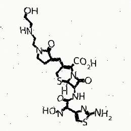 Nc1nc(/C(=N/O)C(=O)N[C@@H]2C(=O)N3C(C(=O)O)=C(/C=C4\CCN(CCNCCO)C4=O)CS[C@H]23)cs1